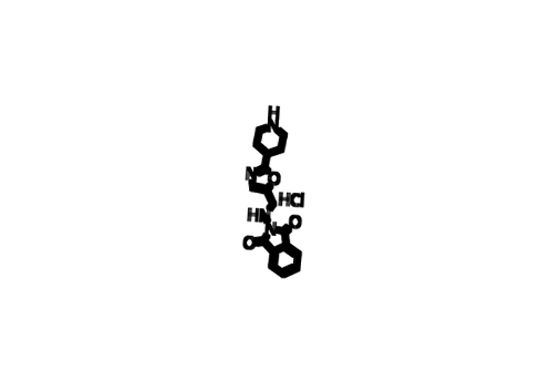 Cl.O=C1c2ccccc2C(=O)N1NCc1cnc(C2CCNCC2)o1